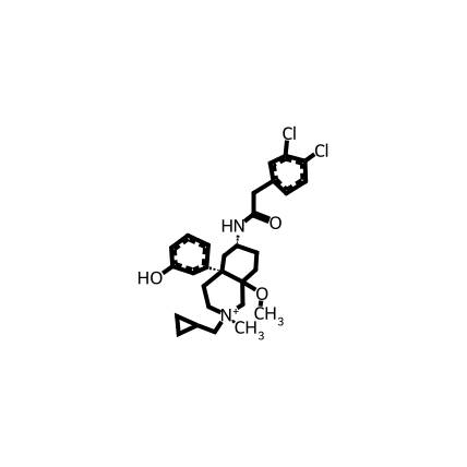 COC12CC[C@@H](NC(=O)Cc3ccc(Cl)c(Cl)c3)C[C@]1(c1cccc(O)c1)CC[N@+](C)(CC1CC1)C2